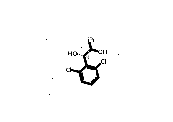 CC(C)C(O)[C@@H](O)c1c(Cl)cccc1Cl